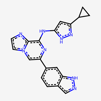 c1cn2cc(-c3ccc4cn[nH]c4c3)nc(Nc3cc(C4CC4)n[nH]3)c2n1